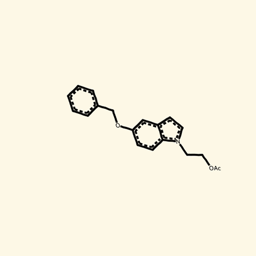 CC(=O)OCCn1ccc2cc(OCc3ccccc3)ccc21